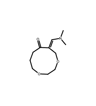 CN(C)/C=C1\COCCOCCCC1=O